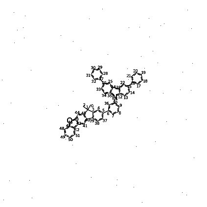 CC1(C)c2cc(-c3cccc(-n4c5ccc(-c6ccccc6)cc5c5cc(-c6ccccc6)ccc54)c3)ccc2-c2cc3c(cc21)oc1ccccc13